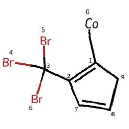 [Co][C]1=C(C(Br)(Br)Br)C=CC1